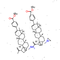 C=C(C)[C@@H]1CC[C@]2(CN)CC[C@]3(C)[C@H](CC[C@@H]4[C@@]5(C)CC=C(c6ccc(C(=O)OC(C)(C)C)cc6)C(C)(C)[C@@H]5CC[C@]43C)[C@@H]12.C=C(C)[C@@H]1CC[C@]2(CN3CC3)CC[C@]3(C)[C@H](CC[C@@H]4[C@@]5(C)CC=C(c6ccc(C(=O)OC(C)(C)C)cc6)C(C)(C)[C@@H]5CC[C@]43C)[C@@H]12